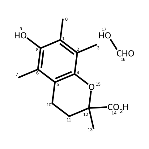 Cc1c(C)c2c(c(C)c1O)CCC(C)(C(=O)O)O2.O=CO